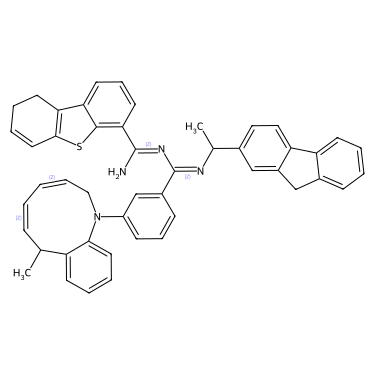 CC1/C=C\C=C/CN(c2cccc(C(=N/C(C)c3ccc4c(c3)Cc3ccccc3-4)/N=C(\N)c3cccc4c5c(sc34)C=CCC5)c2)c2ccccc21